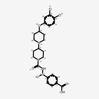 O=C(O)c1ccc([S+]([O-])NC(=O)N2CCC(N3CCC(Oc4ccc(Cl)c(Cl)c4)CC3)CC2)cc1